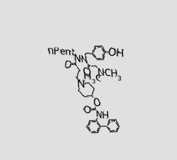 CCCCCN(C(=O)CCN1CCC(OC(=O)Nc2ccccc2-c2ccccc2)CC1)N(Cc1ccc(O)cc1)C(=O)CN(C)C